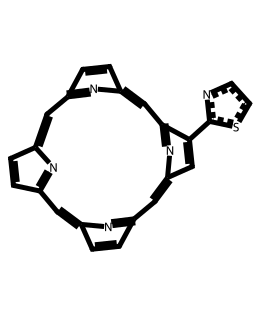 C1=CC2=NC1=CC1=NC(=CC3=NC(=CC4=NC(=C2)C=C4)C=C3c2nccs2)C=C1